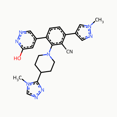 Cn1cc(-c2ccc(-c3cnnc(O)c3)c(N3CCC(c4nncn4C)CC3)c2C#N)cn1